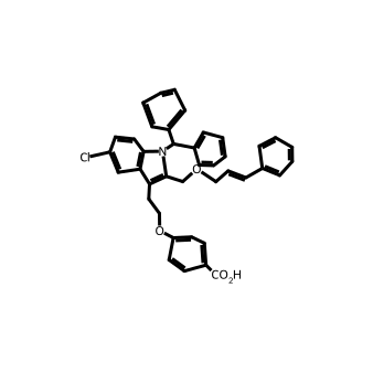 O=C(O)c1ccc(OCCc2c(COCC=Cc3ccccc3)n(C(c3ccccc3)c3ccccc3)c3ccc(Cl)cc23)cc1